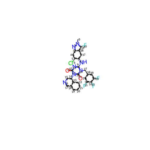 Cn1nc2cc(Cl)c(Nc3nc(=O)n(-c4cncc5ccccc45)c(=O)n3Cc3cc(F)c(F)c(F)c3)cc2c1F